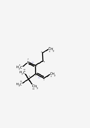 C/C=C(\C(CCC)=N/C)C(C)(C)C